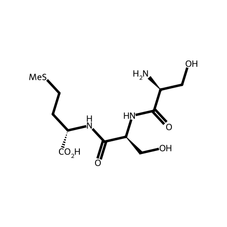 CSCC[C@H](NC(=O)[C@H](CO)NC(=O)[C@@H](N)CO)C(=O)O